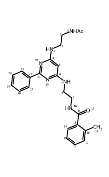 CC(=O)NCCNc1cc(NCCNC(=O)c2ccccc2C)nc(-c2ccccc2)n1